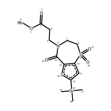 CC(C)(C)OC(=O)CCN1CCS(=O)(=O)c2c[c]([Sn]([CH3])([CH3])[CH3])sc2C1=O